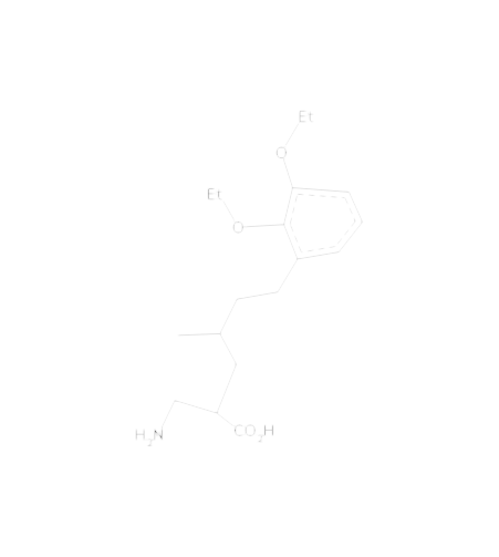 CCOc1cccc(CCC(C)CC(CN)C(=O)O)c1OCC